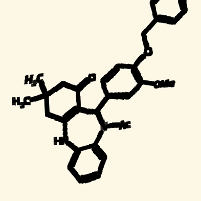 COc1cc(C2C3=C(CC(C)(C)CC3=O)Nc3ccccc3N2C(C)=O)ccc1OCc1ccccc1